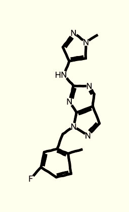 Cc1ccc(F)cc1Cn1ncc2cnc(Nc3cnn(C)c3)nc21